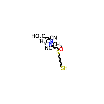 C[C@](C#N)(CCC(=O)O)/N=N/[C@@](C)(C#N)CCC(=O)SCCCCCCS